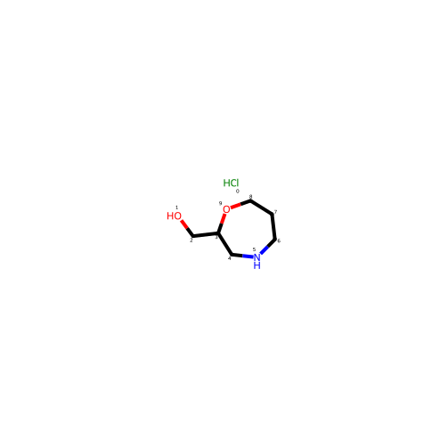 Cl.OCC1CNCCCO1